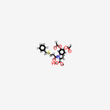 CC(=O)Oc1cc2c(cc1OC(C)=O)N(C(=O)CCSCc1ccccc1)[C@H](C(=O)O)C2